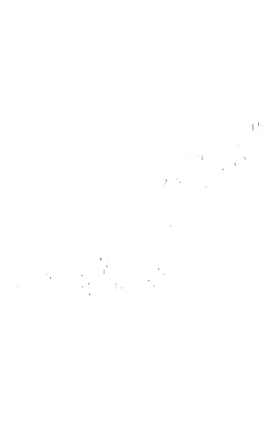 Cn1nc(-c2ccc(NC(=O)Nc3cc(C(C)(C)C)on3)cc2)c2cnc(NCCN3CCOCC3)nc21